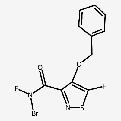 O=C(c1nsc(F)c1OCc1ccccc1)N(F)Br